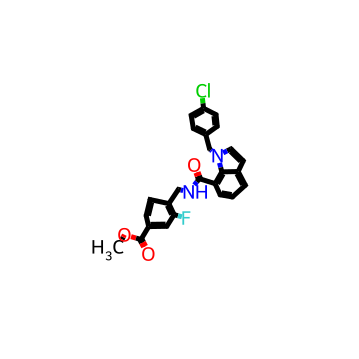 COC(=O)c1ccc(CNC(=O)c2cccc3ccn(Cc4ccc(Cl)cc4)c23)c(F)c1